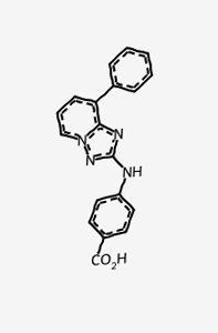 O=C(O)c1ccc(Nc2nc3c(-c4ccccc4)cccn3n2)cc1